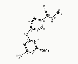 CSc1cc(N)cc(Oc2ccc(C(=O)NN)cc2)n1